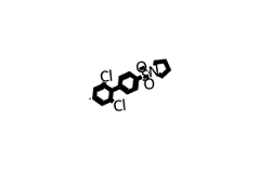 O=S(=O)(c1ccc(C2C(Cl)=C[C]=CC2Cl)cc1)N1CCCC1